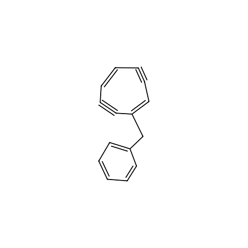 C1#CC=C(Cc2ccccc2)C#CC=C1